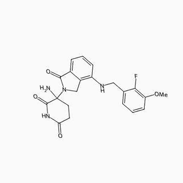 COc1cccc(CNc2cccc3c2CN(C2(N)CCC(=O)NC2=O)C3=O)c1F